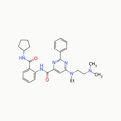 CCN(CCN(C)C)c1cc(C(=O)Nc2ccccc2C(=O)NC2CCCC2)nc(-c2ccccc2)n1